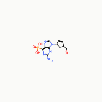 Nc1nc(P(=O)(O)O)c2ncn(C3C=CC(CO)C3)c2n1